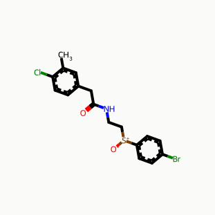 Cc1cc(CC(=O)NCC[S+]([O-])c2ccc(Br)cc2)ccc1Cl